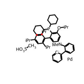 CC(C)Oc1cccc(-c2c(C(C)C)cc(C(C)C)cc2C(C)C)c1P(C1CCCCC1)C1CCCCC1.CNc1ccccc1-c1[c-]cccc1.CS(=O)(=O)O.[Pd]